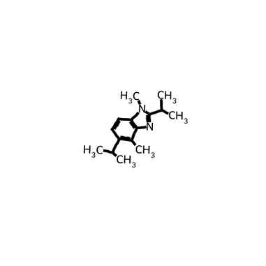 Cc1c(C(C)C)ccc2c1nc(C(C)C)n2C